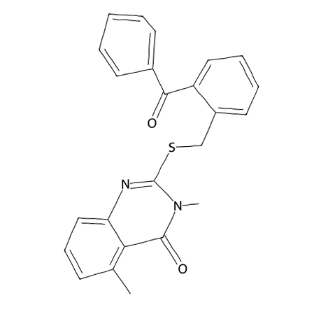 Cc1cccc2nc(SCc3ccccc3C(=O)c3ccccc3)n(C)c(=O)c12